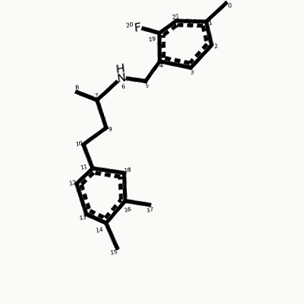 Cc1ccc(CNC(C)CCc2ccc(C)c(C)c2)c(F)c1